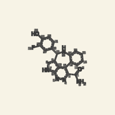 NC(=O)c1nnc2[nH]cc3c2c1-c1ccccc1NC3c1ccc(O)c(F)c1